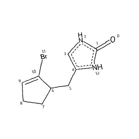 O=c1[nH]cc(CC2CCC=C2Br)[nH]1